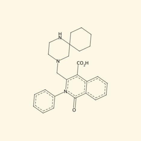 O=C(O)c1c(CN2CCNC3(CCCCC3)C2)n(-c2ccccc2)c(=O)c2ccccc12